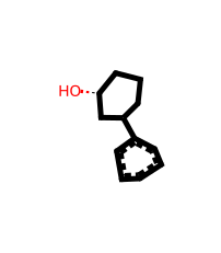 O[C@@H]1CCCC(c2ccccc2)C1